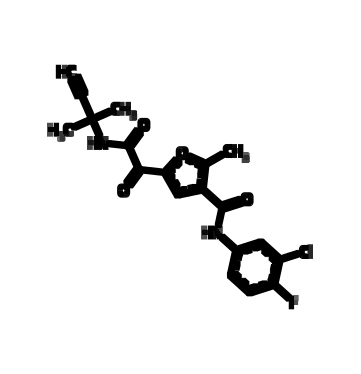 C#CC(C)(C)NC(=O)C(=O)c1cc(C(=O)Nc2ccc(F)c(Cl)c2)c(C)o1